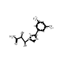 NC(=O)C(Br)C(Br)n1cnc(-c2cc(C(F)(F)F)cc(C(F)(F)F)c2)n1